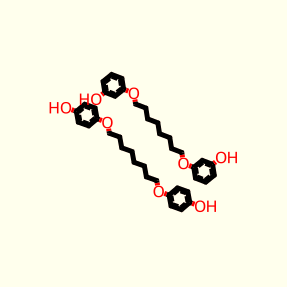 Oc1ccc(OCCCCCCCCOc2ccc(O)cc2)cc1.Oc1cccc(OCCCCCCCCOc2cccc(O)c2)c1